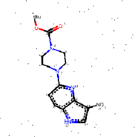 CC(C)(C)OC(=O)N1CCN(c2ccc3[nH]cc([N+](=O)[O-])c3n2)CC1